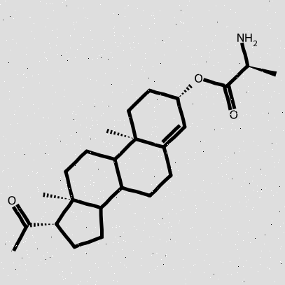 CC(=O)[C@H]1CCC2C3CCC4=C[C@@H](OC(=O)[C@H](C)N)CC[C@]4(C)C3CC[C@@]21C